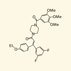 CCOc1ccc(/C(=C\C(=O)N2CCN(C(=O)c3cc(OC)c(OC)c(OC)c3)CC2)c2cc(F)cc(F)c2)cc1